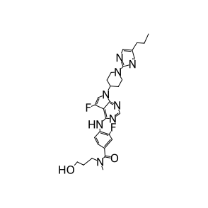 CCCc1cnc(N2CCC(n3cc(F)c4c(Nc5ccc(C(=O)N(C)CCCO)cc5F)ncnc43)CC2)nc1